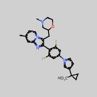 Cc1ccn2c(CC3CN(C)CCO3)c(-c3c(F)cc(-n4ccc(C5(C(=O)O)CC5)c4)cc3F)nc2c1